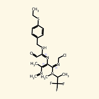 C=N/C(C)=C(/N=C(\C=O)NCc1ccc(SCC)cc1)C(=N/CCl)\N(C)C(C)C(F)(F)F